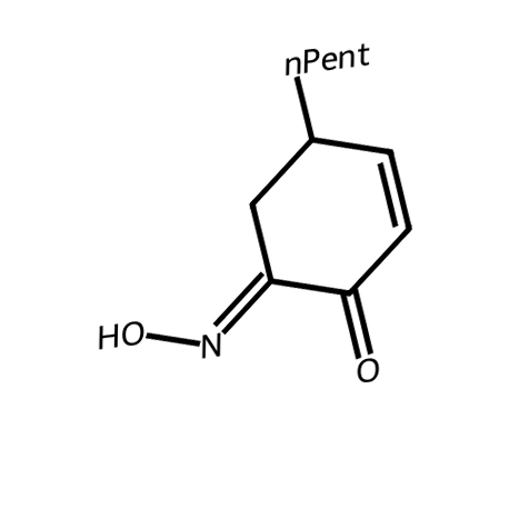 CCCCCC1C=CC(=O)C(=NO)C1